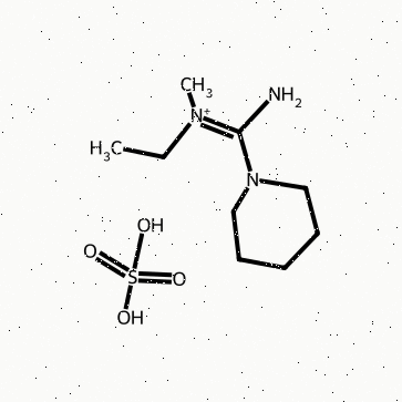 CC[N+](C)=C(N)N1CCCCC1.O=S(=O)(O)O